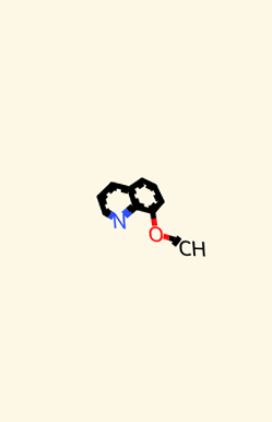 C#COc1cccc2cccnc12